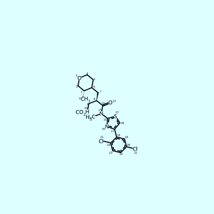 C[C@@H]1COCCC1C[C@H](CC(=O)O)C(=O)N(C)c1nc(-c2cc(Cl)ccc2Cl)cs1